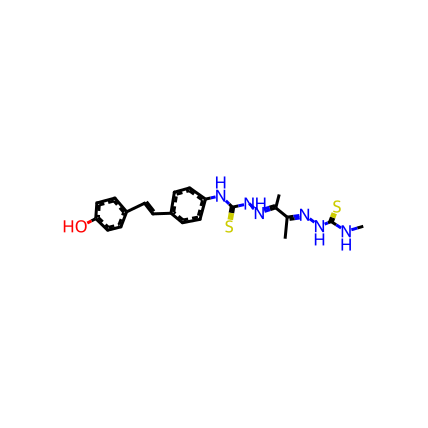 CNC(=S)N/N=C(C)/C(C)=N/NC(=S)Nc1ccc(/C=C/c2ccc(O)cc2)cc1